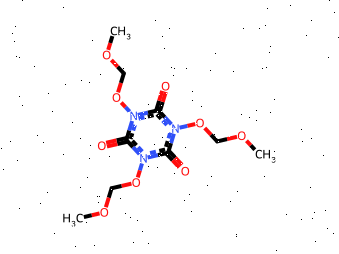 COCOn1c(=O)n(OCOC)c(=O)n(OCOC)c1=O